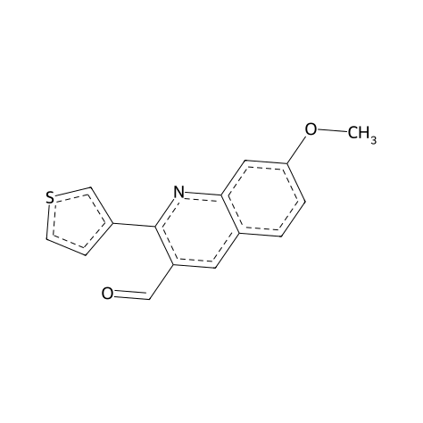 COc1ccc2cc(C=O)c(-c3ccsc3)nc2c1